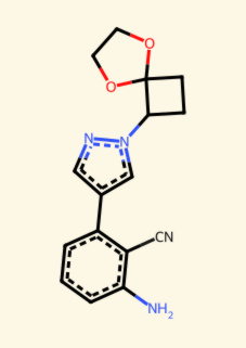 N#Cc1c(N)cccc1-c1cnn(C2CCC23OCCO3)c1